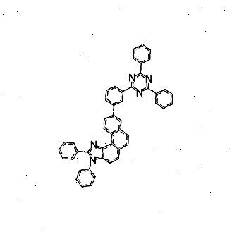 c1ccc(-c2nc(-c3ccccc3)nc(-c3cccc(-c4ccc5c(ccc6ccc7c(nc(-c8ccccc8)n7-c7ccccc7)c65)c4)c3)n2)cc1